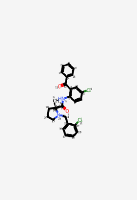 C[C@]1(C(=O)Nc2ccc(Cl)cc2C(=O)c2ccccc2)CCCN1Cc1ccccc1Cl